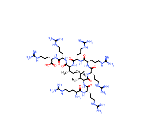 CC[C@H](C)[C@H](NC(=O)[C@H](CCCNC(=N)N)NC(=O)[C@H](CCCNC(=N)N)NC(=O)[C@H](CCCNC(=N)N)NC(=O)[C@@H](NC(=O)[C@H](CCCNC(=N)N)NC(=O)[C@@H](N)CCCNC(=N)N)[C@@H](C)CC)C(=O)N[C@@H](CCCNC(=N)N)C(=O)N[C@@H](CCCNC(=N)N)C(=O)O